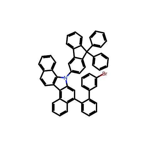 Brc1cccc(-c2ccccc2-c2cc3c(c4ccccc24)c2ccc4ccccc4c2n3-c2ccc3c(c2)-c2ccccc2C3(c2ccccc2)c2ccccc2)c1